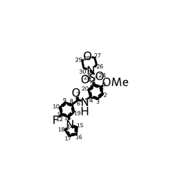 COc1ccc(NC(=O)c2ccc(F)c(-n3cccc3)c2)cc1S(=O)(=O)N1CCOCC1